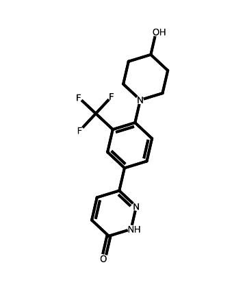 O=c1ccc(-c2ccc(N3CCC(O)CC3)c(C(F)(F)F)c2)n[nH]1